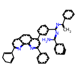 C=C(/N=C(\N=C(/N)c1cc#ccc1)c1cccc(-c2cc(-c3ccccc3)nc3c2ccc2ccc(C4=CCCC=C4)nc23)c1)c1ccccc1